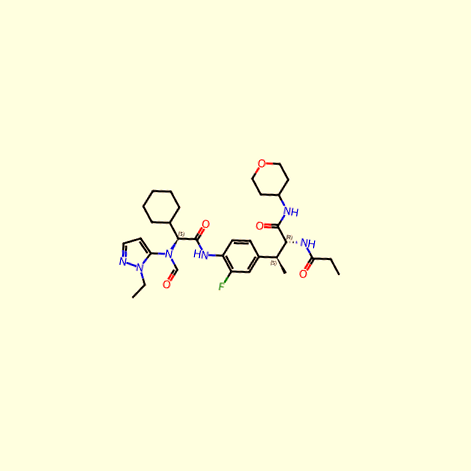 CCC(=O)N[C@@H](C(=O)NC1CCOCC1)[C@@H](C)c1ccc(NC(=O)[C@H](C2CCCCC2)N(C=O)c2ccnn2CC)c(F)c1